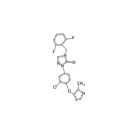 Cc1ncsc1Oc1ccc(-n2ncn(Cc3c(F)cccc3F)c2=O)cc1Cl